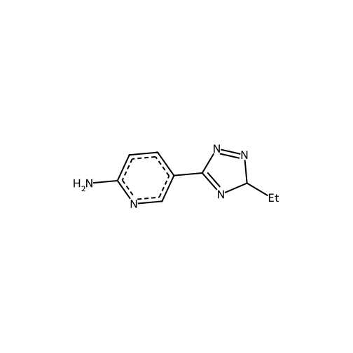 CCC1N=NC(c2ccc(N)nc2)=N1